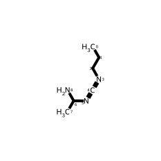 CCCN=C=NC(C)N